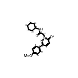 COc1ccc(-c2ccc(=O)n(CC(=O)NC3CCCCC3)n2)cc1